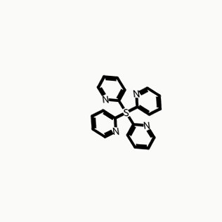 c1ccc(S(c2ccccn2)(c2ccccn2)c2ccccn2)nc1